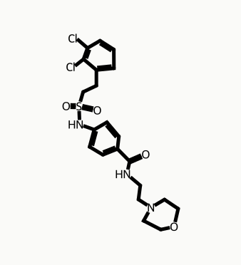 O=C(NCCN1CCOCC1)c1ccc(NS(=O)(=O)CCc2cccc(Cl)c2Cl)cc1